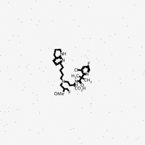 COC(CF)CN(CCCCc1ccc2c(n1)NCCC2)CCC(NC(=O)C(C)(C)c1ncc(F)cc1Cl)C(=O)O